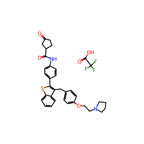 O=C(O)C(F)(F)F.O=C1CCC(C(=O)Nc2ccc(-c3sc4ccccc4c3Cc3ccc(OCCN4CCCC4)cc3)cc2)C1